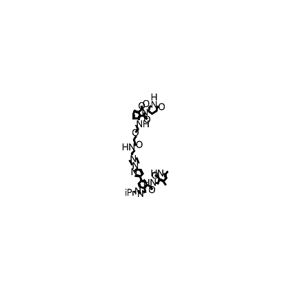 Cc1cc(C)c(CNC(=O)c2cc(-c3ccc(N4CCN(CCNC(=O)CCOCCNc5cccc6c5C(=O)N(C5CCC(=O)NC5=O)C6=O)CC4)nc3)cc3c2cnn3C(C)C)c(=O)[nH]1